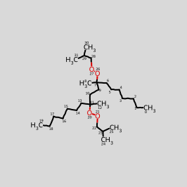 CCCCCCCC(C)(CCC(C)(CCCCCCC)OOCC(C)C)OOCC(C)C